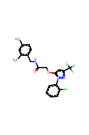 Cc1ccc(CNC(=O)COc2cc(C(F)(F)F)nn2-c2ccccc2Cl)c(C)c1